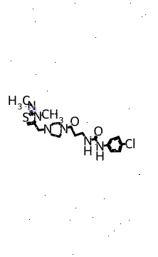 C/N=c1\scc(CN2CCN(C(=O)CCNC(=O)Nc3ccc(Cl)cc3)CC2)n1C